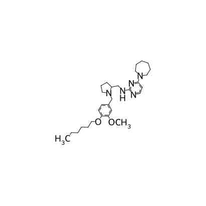 CCCCCCOc1ccc(CN2CCCC2CNc2nccc(N3CCCCCC3)n2)cc1OC